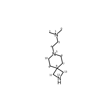 CN(C)CCN1CCC2(CC1)CNC2